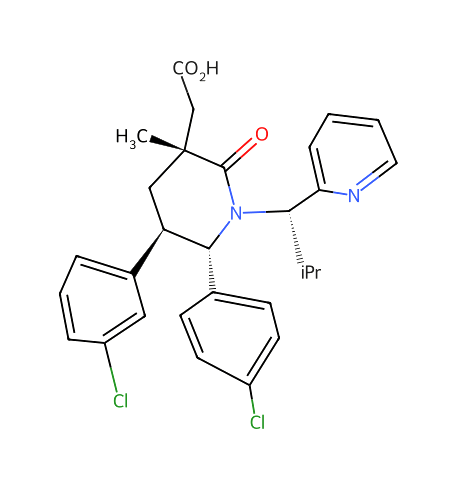 CC(C)[C@@H](c1ccccn1)N1C(=O)[C@@](C)(CC(=O)O)C[C@H](c2cccc(Cl)c2)[C@H]1c1ccc(Cl)cc1